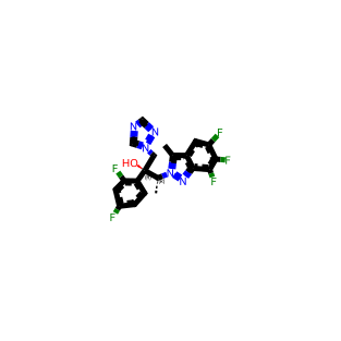 Cc1c2cc(F)c(F)c(F)c2nn1[C@H](C)[C@](O)(Cn1cncn1)c1ccc(F)cc1F